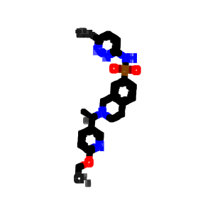 C[C@H](c1ccc(OCC(F)(F)F)nc1)N1CCc2ccc(S(=O)(=O)Nc3ccc(C(C)(C)C)nn3)cc2C1